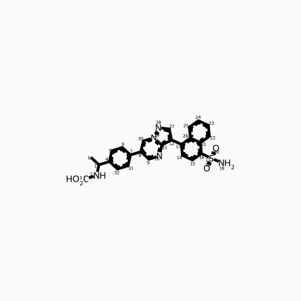 CC(NC(=O)O)c1ccc(-c2cnc3c(-c4ccc(S(N)(=O)=O)c5ccccc45)cnn3c2)cc1